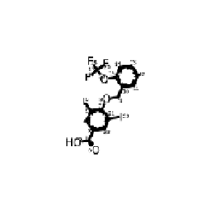 O=C(O)c1cc(I)c(OCc2ccccc2OC(F)(F)F)c(I)c1